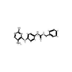 Nc1cnc(Cl)nc1Oc1ccc(NC(=O)OCc2ccccc2)cc1